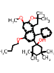 CCCCOc1cc(C2(O)CC(C)(C)CC(C)(C)C2)c(-c2ccccc2)c2c3c(c(OC)cc12)OC(C)(C)C3